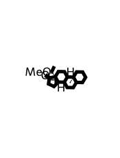 COC(C)[C@]12CC[C@H]3[C@@H](CCC4CCCC[C@@]43C)[C@@H]1CCC2=O